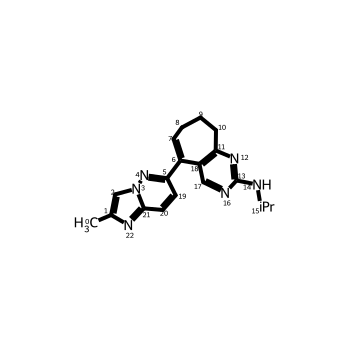 Cc1cn2nc(C3=CCCCc4nc(NC(C)C)ncc43)ccc2n1